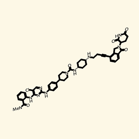 CNC(=O)c1ccccc1Nc1nc(Nc2ccc(C3CCN(C(=O)N[C@H]4CC[C@@H](NCCC#Cc5cccc6c5CN(C5CCC(=O)NC5=O)C6=O)CC4)CC3)cc2)ncc1Cl